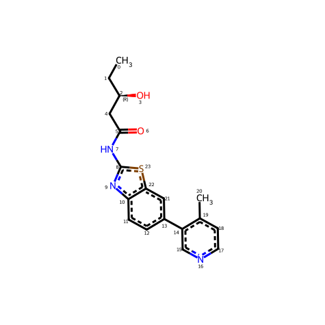 CC[C@@H](O)CC(=O)Nc1nc2ccc(-c3cnccc3C)cc2s1